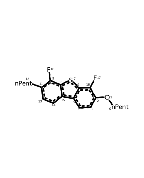 CCCCCOc1ccc2c(sc3c(F)c(CCCCC)ccc32)c1F